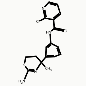 CC1(c2cccc(NC(=O)c3cccnc3Cl)c2)CCSC(N)=N1